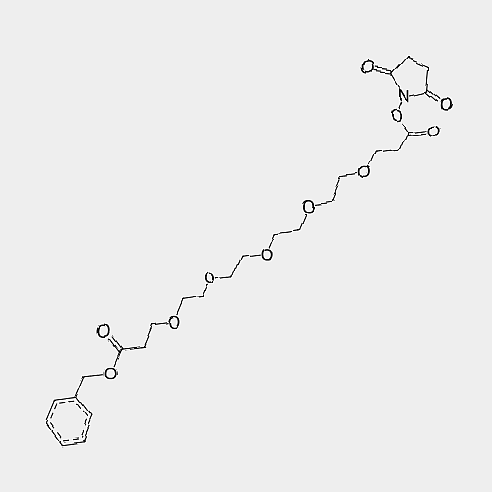 O=C(CCOCCOCCOCCOCCOCCC(=O)ON1C(=O)CCC1=O)OCc1ccccc1